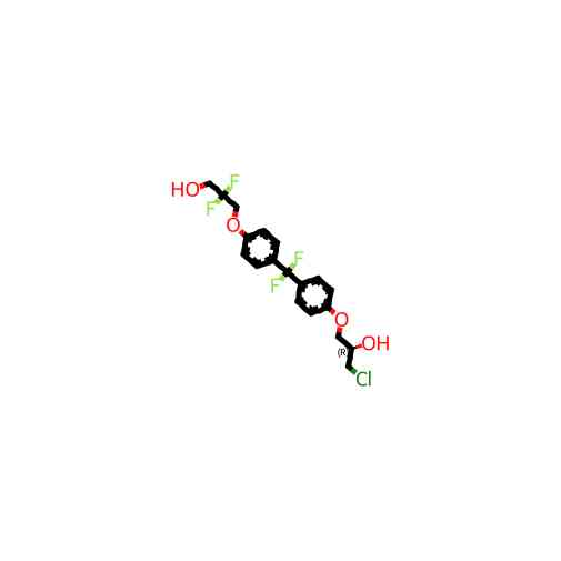 OCC(F)(F)COc1ccc(C(F)(F)c2ccc(OC[C@@H](O)CCl)cc2)cc1